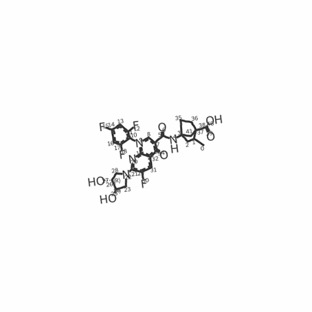 CC1CC2(NC(=O)c3cn(-c4c(F)cc(F)cc4F)c4nc(N5C[C@@H](O)[C@H](O)C5)c(F)cc4c3=O)CCC1(C(=O)O)C2